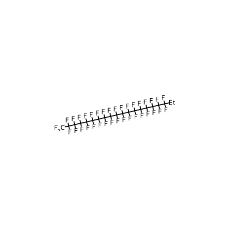 CCC(F)(F)C(F)(F)C(F)(F)C(F)(F)C(F)(F)C(F)(F)C(F)(F)C(F)(F)C(F)(F)C(F)(F)C(F)(F)C(F)(F)C(F)(F)C(F)(F)C(F)(F)C(F)(F)C(F)(F)C(F)(F)F